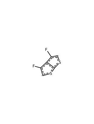 Fc1[c]sc2s[c]c(F)c12